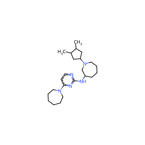 CC1CC(N2CCCCC(Nc3nccc(N4CCCCCC4)n3)C2)CC1C